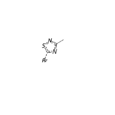 Cc1nsc(Br)n1